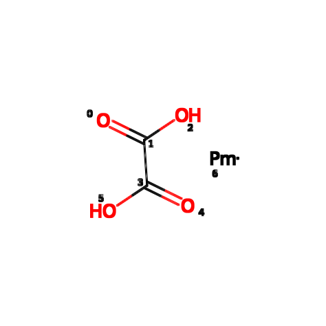 O=C(O)C(=O)O.[Pm]